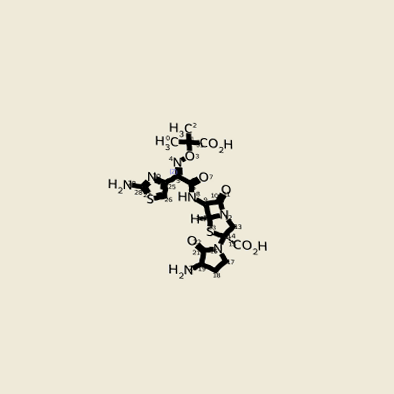 CC(C)(O/N=C(\C(=O)NC1C(=O)N2C[C@@](C(=O)O)(N3CCC(N)C3=O)S[C@H]12)c1csc(N)n1)C(=O)O